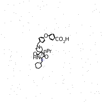 CCCN1C(=O)/C(=C/C2CCCCC2)NC(=O)C12CCN(Cc1ccc(Oc3ccc(C(=O)O)cc3)cc1)CC2